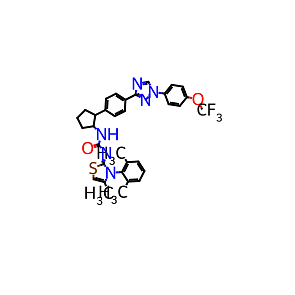 Cc1cccc(C)c1-n1c(C)cs/c1=N\C(=O)NC1CCCC1c1ccc(-c2ncn(-c3ccc(OC(F)(F)F)cc3)n2)cc1